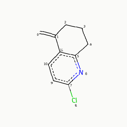 C=C1CCCc2nc(Cl)ccc21